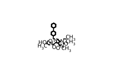 CC(C)Cn1c(=O)n(C)c(=O)c2c(C(=O)N3CC(C)(O)CO3)n(Cc3ccc(-c4ccccc4)cc3)cc21